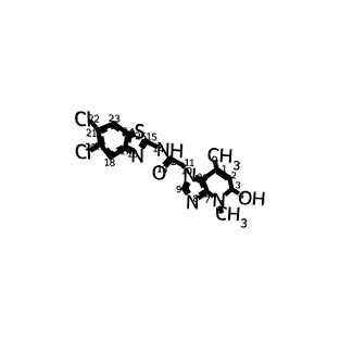 CC1=CC(O)N(C)c2ncn(CC(=O)Nc3nc4cc(Cl)c(Cl)cc4s3)c21